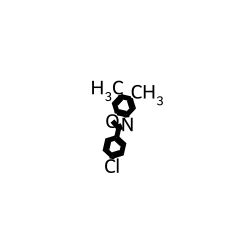 Cc1cc2nc(-c3ccc(Cl)cc3)oc2cc1C